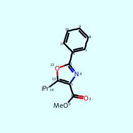 COC(=O)c1nc(-c2ccccc2)oc1C(C)C